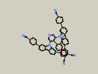 N#Cc1ccc(-c2ccc3c4ccc(-c5ccc(C#N)cc5)cc4n(-c4cncc(-n5c6cc(-c7ccc(C#N)cc7)ccc6c6ccc(-c7ccc(C#N)cc7)cc65)c4-c4ccccc4C#N)c3c2)cc1